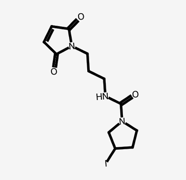 O=C(NCCCN1C(=O)C=CC1=O)N1CCC(I)C1